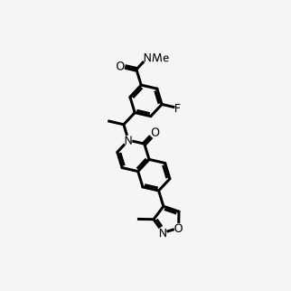 CNC(=O)c1cc(F)cc(C(C)n2ccc3cc(-c4conc4C)ccc3c2=O)c1